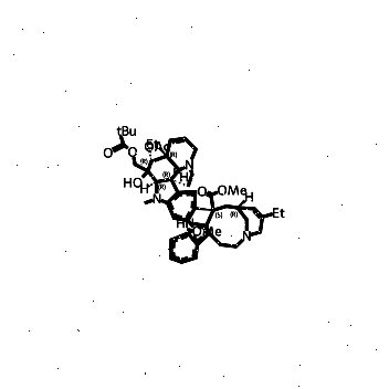 CCC1=C[C@@H]2CN(CCc3c([nH]c4ccccc34)[C@@](C(=O)OC)(c3cc4c(cc3OC)N(C)[C@H]3C(O)(COC(=O)C(C)(C)C)[C@H](OC(C)=O)[C@]5(CC)C=CCN6CC[C@]43[C@@H]65)C2)C1